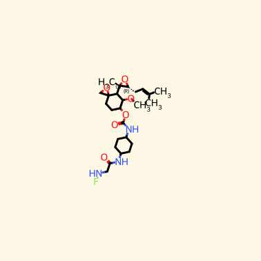 COC1C(OC(=O)NC2CCC(NC(=O)CNF)CC2)CCC2(CO2)C1[C@]1(C)O[C@@H]1CC=C(C)C